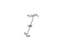 Br.CP(C)CCCCCCCCCCCC(=O)O